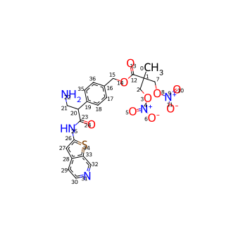 CC(CO[N+](=O)[O-])(CO[N+](=O)[O-])C(=O)OCc1ccc(C(CN)C(=O)Nc2cc3ccncc3s2)cc1